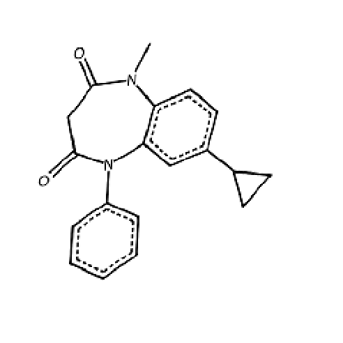 CN1C(=O)CC(=O)N(c2ccccc2)c2cc(C3CC3)ccc21